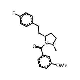 COc1cccc(C(=O)N2[C@@H](CCc3ccc(F)cc3)CC[C@H]2C)c1